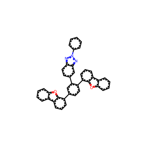 c1ccc(-n2nc3ccc(-c4cc(-c5cccc6c5oc5ccccc56)ccc4-c4cccc5c4oc4ccccc45)cc3n2)cc1